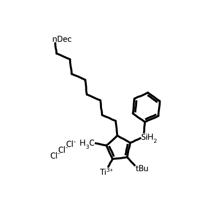 CCCCCCCCCCCCCCCCCCC1C(C)=[C]([Ti+3])C(C(C)(C)C)=C1[SiH2]c1ccccc1.[Cl-].[Cl-].[Cl-]